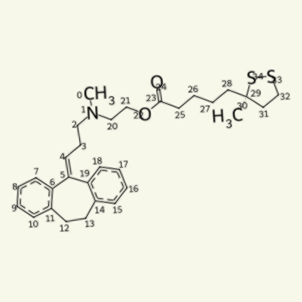 CN(CCC=C1c2ccccc2CCc2ccccc21)CCOC(=O)CCCC[C@]1(C)CCSS1